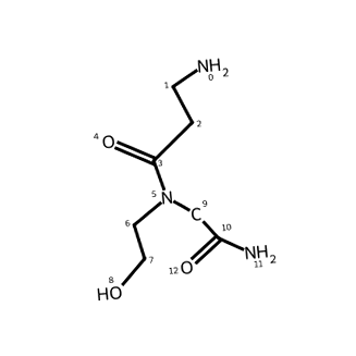 NCCC(=O)N(CCO)CC(N)=O